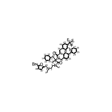 CN(CCN(C)C(=O)C(I)(Cc1ccccc1)N(Cc1ccc(-c2ccccn2)cc1)C(=O)C=Cc1ccc(C(F)(F)F)cc1)Cc1ccc(Br)o1